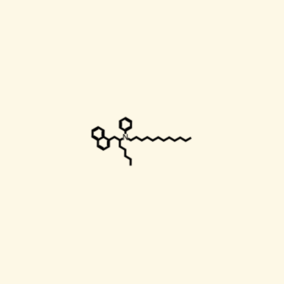 CCCCCCCCCCCCN(c1ccccc1)C(CCCCC)Cc1cccc2ccccc12